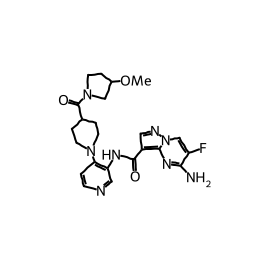 COC1CCN(C(=O)C2CCN(c3ccncc3NC(=O)c3cnn4cc(F)c(N)nc34)CC2)C1